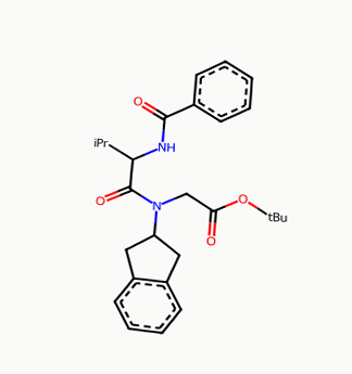 CC(C)C(NC(=O)c1ccccc1)C(=O)N(CC(=O)OC(C)(C)C)C1Cc2ccccc2C1